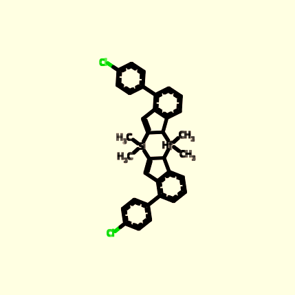 C[Si]1(C)C2=Cc3c(-c4ccc(Cl)cc4)cccc3[CH]2[Hf]([CH3])([CH3])[CH]2C1=Cc1c(-c3ccc(Cl)cc3)cccc12